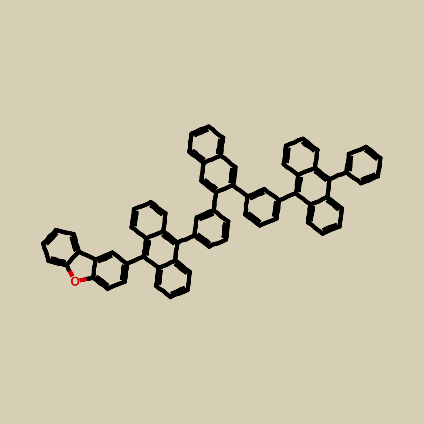 c1ccc(-c2c3ccccc3c(-c3cccc(-c4cc5ccccc5cc4-c4cccc(-c5c6ccccc6c(-c6ccc7oc8ccccc8c7c6)c6ccccc56)c4)c3)c3ccccc23)cc1